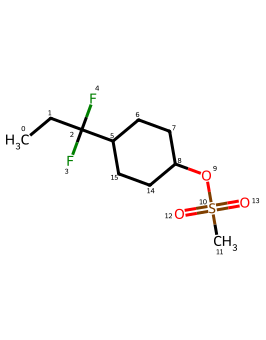 CCC(F)(F)C1CCC(OS(C)(=O)=O)CC1